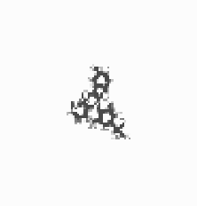 Cc1ccc2oc3c(c2c1)Oc1ncccc1N3c1c(C)cc(C(C)(C)C)cc1C